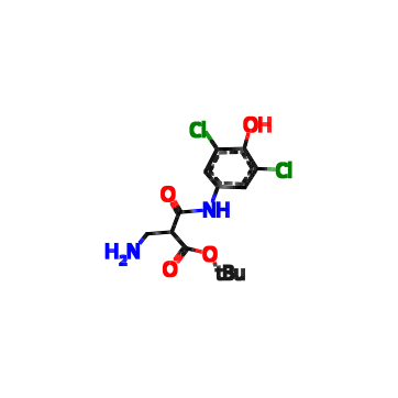 CC(C)(C)OC(=O)C(CN)C(=O)Nc1cc(Cl)c(O)c(Cl)c1